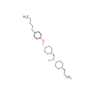 CCCCCc1ccc(OC[C@H]2CC[C@H](CC(F)[C@H]3CC[C@H](CCC)CC3)CC2)cc1